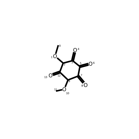 COC1C(=O)C(=O)C(=O)C(OC)C1=O